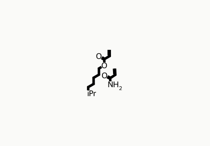 C=CC(=O)OCCCCCC(C)C.C=CC(N)=O